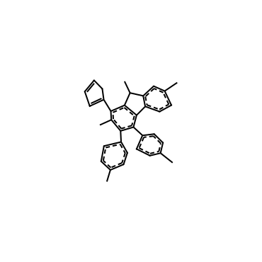 Cc1ccc(-c2c(C)c(C3=CC=CC3)c3c(c2-c2ccc(C)cc2)-c2ccc(C)cc2C3C)cc1